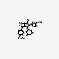 COc1ccc(-c2n[nH]c3c2C(C2CCCCC2)N(c2nc(C(C)(C)C)cs2)C3=O)cc1